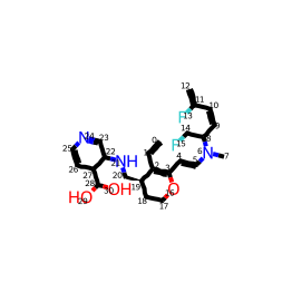 C=CC1=C(/C=C/N(C)C(/C=C\C(=C)F)CF)OCC[C@H]1CNC1C=NC=CC1C(O)O